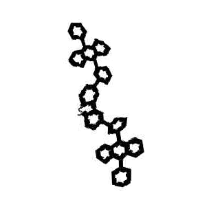 c1ccc(-c2c3ccccc3c(-c3cccc(-c4ccc5sc6ccc(-c7cccc(-c8c9ccccc9c(-c9ccccc9)c9ccccc89)c7)cc6c5c4)c3)c3ccccc23)cc1